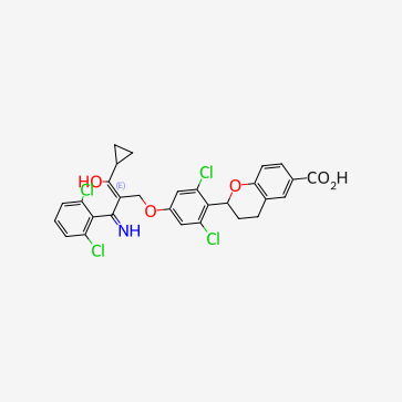 N=C(/C(COc1cc(Cl)c(C2CCc3cc(C(=O)O)ccc3O2)c(Cl)c1)=C(\O)C1CC1)c1c(Cl)cccc1Cl